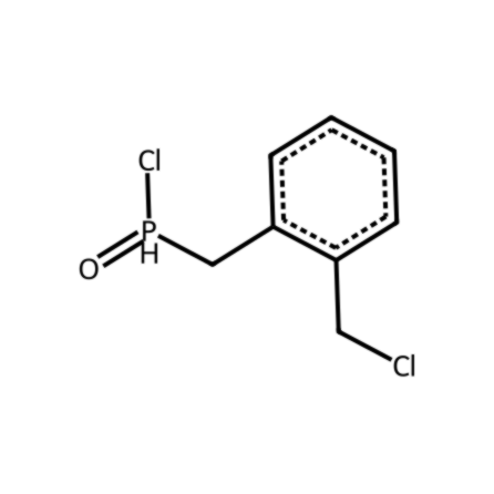 O=[PH](Cl)Cc1ccccc1CCl